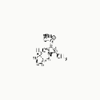 Cc1cc(C(=O)OC(C)(C)C)c(C)n1CC1=CC=CC1